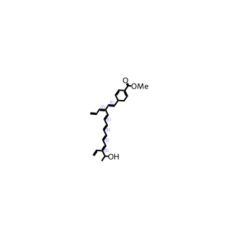 C=C/C=C(\C=C\C=C\C=C\C=C(/C=C)C(C)O)/C=C/C1C=CC(C(=O)OC)=CC1